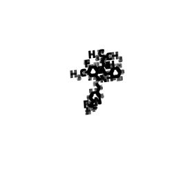 Cc1cc([C@@H](CCc2ccc(C(F)(F)F)nc2)NC(C(=O)NCC(C)C)c2ccccc2)ccc1F